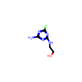 Nc1nc(Cl)nc(NCCO)n1